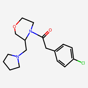 O=C(Cc1ccc(Cl)cc1)N1CCOCC1CN1CCCC1